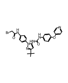 CC(C)(C)c1cc(NC(=O)Nc2ccc(Oc3ccncc3)cc2)n(-c2ccc(NC(=O)CBr)cc2)n1